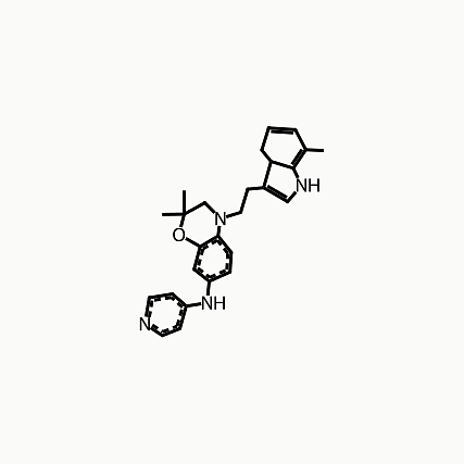 CC1=C2NC=C(CCN3CC(C)(C)Oc4cc(Nc5ccncc5)ccc43)C2CC=C1